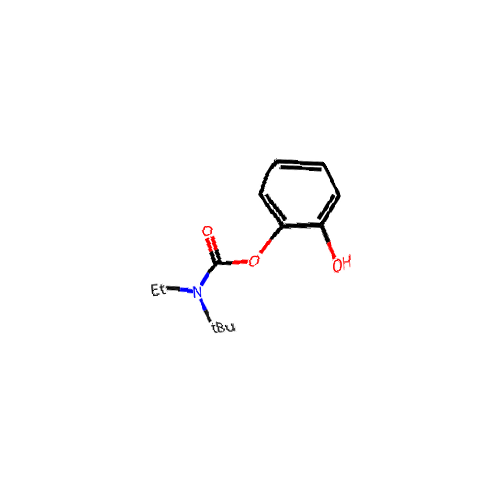 CCN(C(=O)Oc1ccccc1O)C(C)(C)C